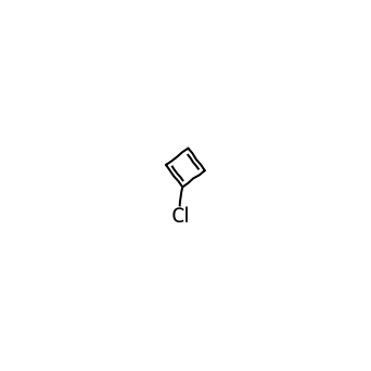 ClC1=CC=C1